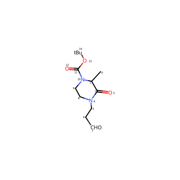 CC1C(=O)N(CCC=O)CCN1C(=O)OC(C)(C)C